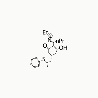 CCCC(=NOCC)C1=C(O)CC(CC(C)Sc2ccccc2)CC1=O